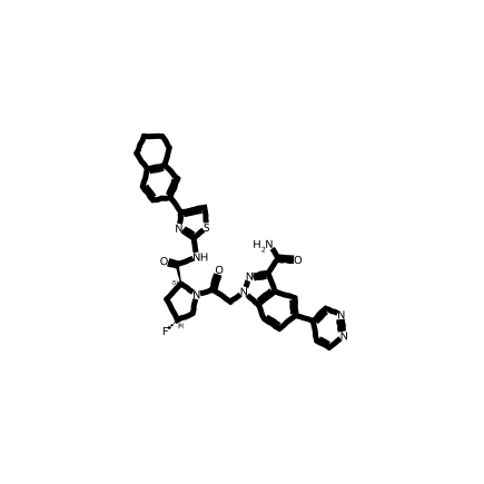 NC(=O)c1nn(CC(=O)N2C[C@H](F)C[C@H]2C(=O)Nc2nc(-c3ccc4c(c3)CCCC4)cs2)c2ccc(-c3ccnnc3)cc12